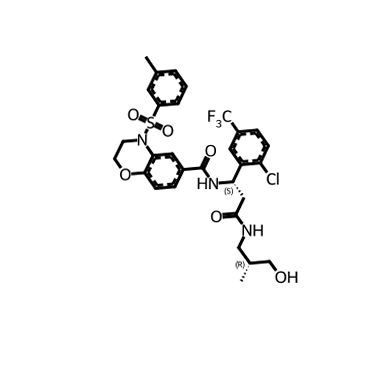 Cc1cccc(S(=O)(=O)N2CCOc3ccc(C(=O)N[C@@H](CC(=O)NC[C@@H](C)CO)c4cc(C(F)(F)F)ccc4Cl)cc32)c1